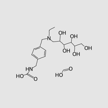 CCN(Cc1ccc(CNC(=O)O)cc1)CC(O)C(O)C(O)C(O)CO.O=CO